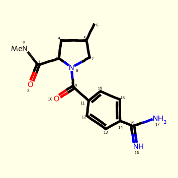 CNC(=O)C1CC(C)CN1C(=O)c1ccc(C(=N)N)cc1